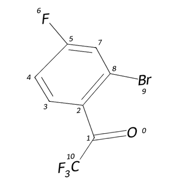 O=C(c1ccc(F)cc1Br)C(F)(F)F